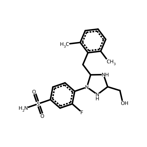 Cc1cccc(C)c1CC1NC(CO)NN1c1ccc(S(N)(=O)=O)cc1F